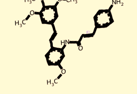 COc1ccc(C=Cc2cc(OC)c(OC)c(OC)c2)c(NC(=O)/C=C/c2ccc(N)cc2)c1